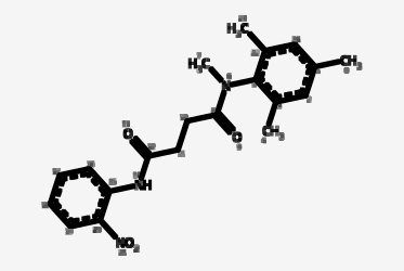 Cc1cc(C)c(N(C)C(=O)CCC(=O)Nc2ccccc2[N+](=O)[O-])c(C)c1